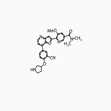 COc1cc(C(=O)N(C)C)cnc1-c1cc2nccc(-c3ccc(OC4CCNC4)c(C#N)c3)c2o1